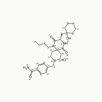 CCCCN1C(=O)[C@@H](CC2(O)CCCCC2)NC(=O)C12CCN(Cc1ccc(C(N)=O)cc1)CC2.Cl